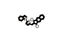 O=C1C(=Cc2ccc(-n3ccc4ccccc43)s2)C(=O)c2cc3ccccc3cc21